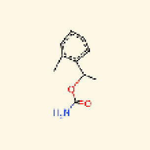 Cc1ccccc1C(C)OC(N)=O